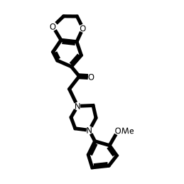 COc1ccccc1N1CCN(CC(=O)c2ccc3c(c2)OCCO3)CC1